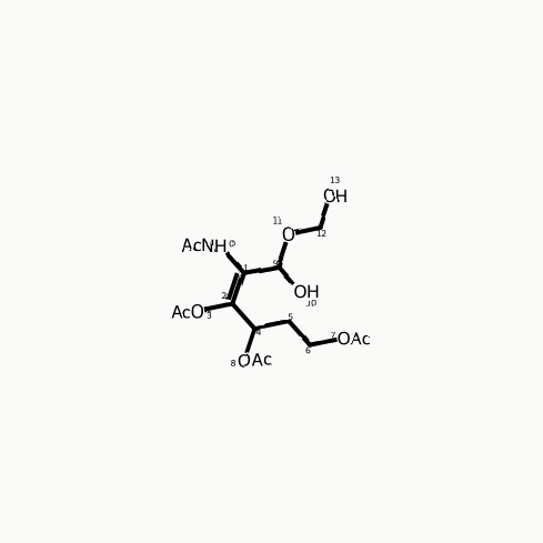 CC(=O)N/C(=C(\OC(C)=O)C(CCOC(C)=O)OC(C)=O)C(O)OCO